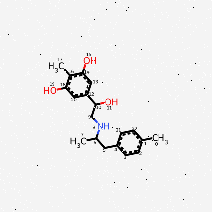 Cc1ccc(CC(C)NCC(O)c2cc(O)c(C)c(O)c2)cc1